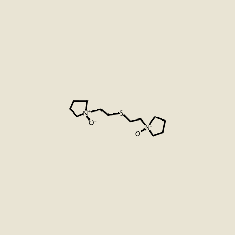 [O-][N+]1(CCSCC[N+]2([O-])CCCC2)CCCC1